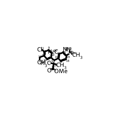 COC(=O)C(C)(C)[C@@H](c1ccc(Cl)c(CO)c1)c1ccc2c(nnn2C)c1C